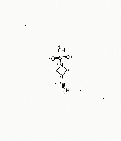 C#CC1CN(S(C)(=O)=O)C1